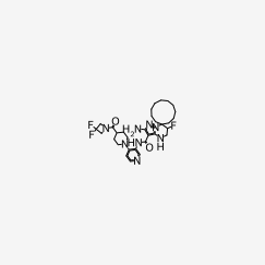 Nc1nn2c(c1C(=O)Nc1cnccc1N1CCC(C(=O)N3CC(F)(F)C3)CC1)NCC(F)C21CCCCCCCCCC1